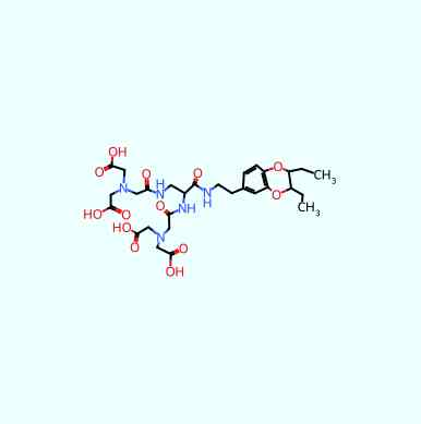 CCC1Oc2ccc(CCNC(=O)C(CNC(=O)CN(CC(=O)O)CC(=O)O)NC(=O)CN(CC(=O)O)CC(=O)O)cc2OC1CC